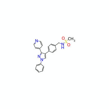 CS(=O)(=O)NCc1ccc(-c2cn(-c3ccccc3)nc2-c2ccncc2)cc1